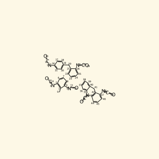 Cc1c(N=C=O)cccc1N=C=O.O=C=Nc1ccc(Cc2ccccc2N=C=O)cc1.O=C=Nc1ccccc1Cc1ccccc1N=C=O